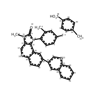 Cc1cc(F)ccc1-n1c(=O)n(C)c2cnc3ccc(-c4cnc5ccccc5c4)cc3c21.Cc1ccc(S(=O)(=O)O)cc1